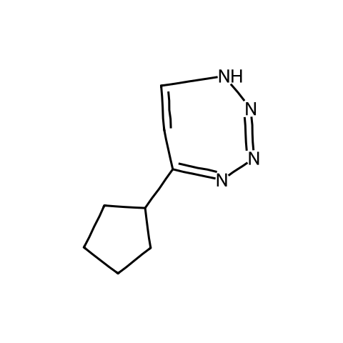 C1=CC(C2CCCC2)=NN=NN1